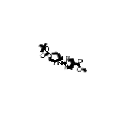 CCOC(=O)c1cnc(NC2(C)CCN(C(=O)OC(C)(C)C)CC2)nc1